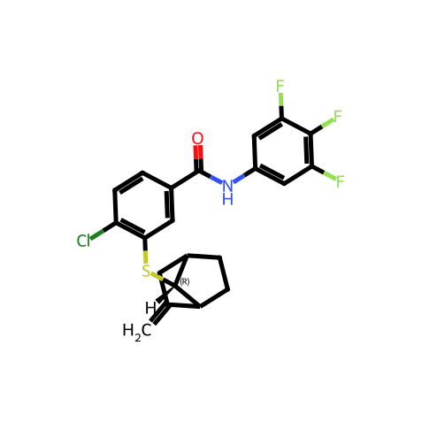 C=C1CC2CCC1[C@@H]2Sc1cc(C(=O)Nc2cc(F)c(F)c(F)c2)ccc1Cl